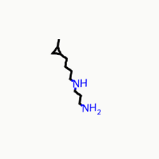 CC1CC1CCCCNCCCN